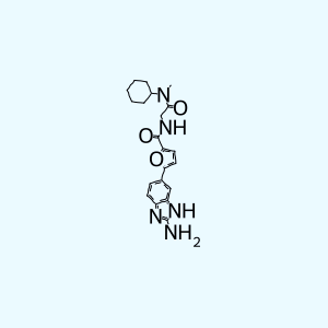 CN(C(=O)CNC(=O)c1ccc(-c2ccc3nc(N)[nH]c3c2)o1)C1CCCCC1